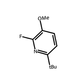 COc1ccc(C(C)(C)C)nc1F